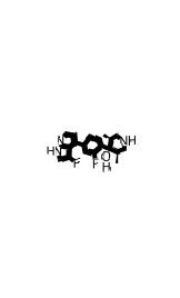 C[C@@H]1CNC[C@H](C)[C@@]1(O)c1ccc(-c2ccnc3[nH]cc(F)c23)cc1F